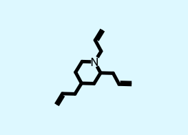 C=CCC1CCN(CC=C)C(CC=C)C1